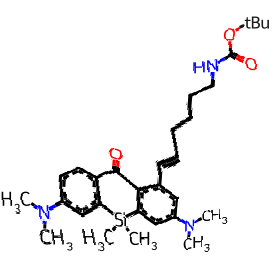 CN(C)c1ccc2c(c1)[Si](C)(C)c1cc(N(C)C)cc(/C=C/CCCCNC(=O)OC(C)(C)C)c1C2=O